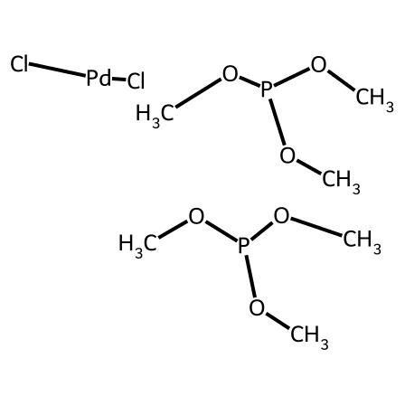 COP(OC)OC.COP(OC)OC.[Cl][Pd][Cl]